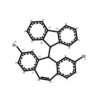 Brc1ccc2c(c1)C(C1c3ccccc3-c3ccccc31)c1cc(Br)ccc1C=C2